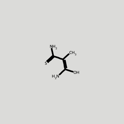 C/C(C(N)=S)=C(/N)O